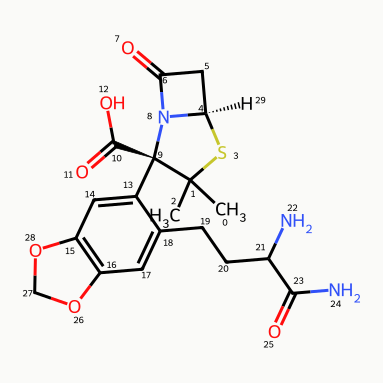 CC1(C)S[C@@H]2CC(=O)N2[C@@]1(C(=O)O)c1cc2c(cc1CCC(N)C(N)=O)OCO2